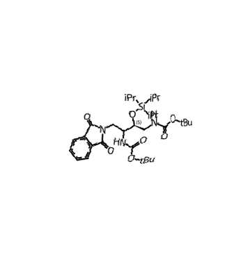 CC(C)[Si](O[C@@H](CNC(=O)OC(C)(C)C)C(CN1C(=O)c2ccccc2C1=O)NC(=O)OC(C)(C)C)(C(C)C)C(C)C